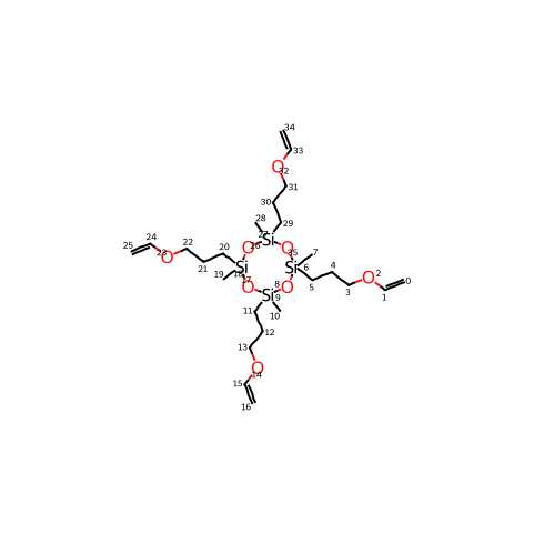 C=COCCC[Si]1(C)O[Si](C)(CCCOC=C)O[Si](C)(CCCOC=C)O[Si](C)(CCCOC=C)O1